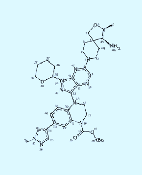 C[C@@H]1OCC2(CCN(c3cnc4c(N5CCN(C(=O)OC(C)(C)C)c6cc(-c7cnn(C)c7)ccc65)nn(C5CCCCO5)c4n3)CC2)[C@@H]1N